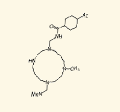 CNCN1CCCNCCN(CNC(=O)C2CCC(C(C)=O)CC2)CCCN(C)CC1